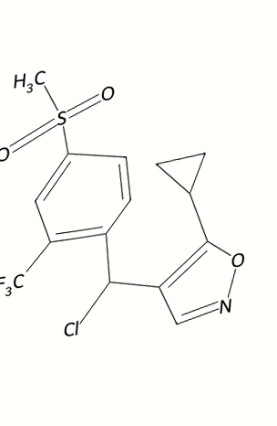 CS(=O)(=O)c1ccc(C(Cl)c2cnoc2C2CC2)c(C(F)(F)F)c1